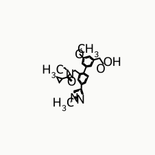 CCN(Cc1cc(-c2cnn(C)c2)ccc1-c1cc(CC(=O)O)cc(OC)c1)C(=O)C1CC1